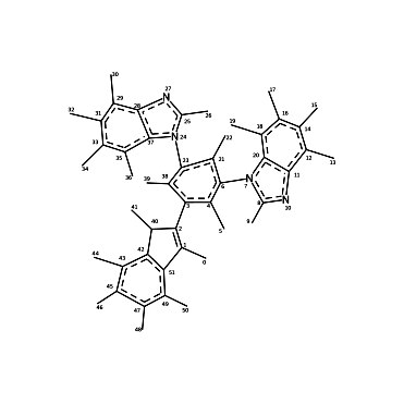 CC1=C(c2c(C)c(-n3c(C)nc4c(C)c(C)c(C)c(C)c43)c(C)c(-n3c(C)nc4c(C)c(C)c(C)c(C)c43)c2C)C(C)c2c(C)c(C)c(C)c(C)c21